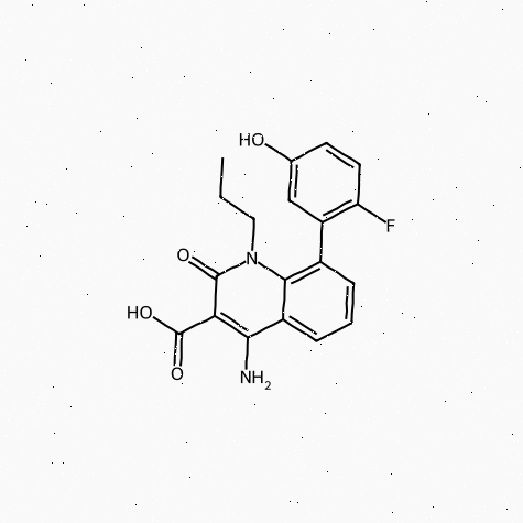 CCCn1c(=O)c(C(=O)O)c(N)c2cccc(-c3cc(O)ccc3F)c21